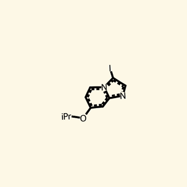 CC(C)Oc1ccn2c(I)cnc2c1